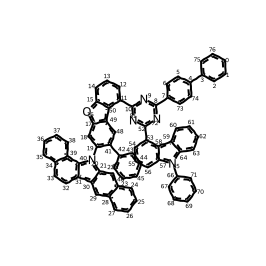 c1ccc(-c2ccc(-c3nc(-c4cccc5oc6cc(-n7c8cc9ccccc9cc8c8ccc9ccccc9c87)c(-c7ccccc7)cc6c45)nc(-c4cccc5c4c4ccccc4n5-c4ccccc4)n3)cc2)cc1